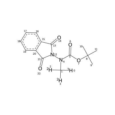 [2H]C([2H])([2H])N(C(=O)OC(C)(C)C)N1C(=O)c2ccccc2C1=O